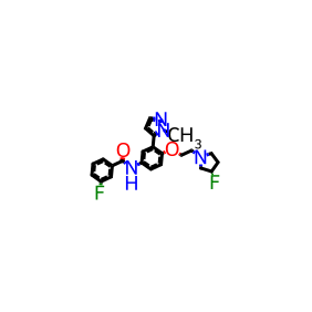 Cn1nccc1-c1cc(NC(=O)c2cccc(F)c2)ccc1OCCN1CC[C@H](F)C1